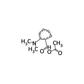 CC(=O)O.CN(C)c1ccccc1C=O